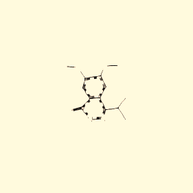 COc1cc2c(C(C)C)n[nH]c(=O)c2cc1OC